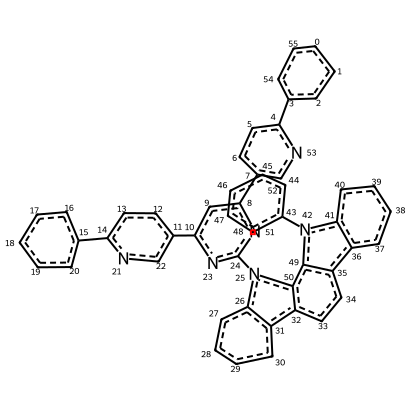 c1ccc(-c2ccc(-c3cc(-c4ccc(-c5ccccc5)nc4)nc(-n4c5ccccc5c5ccc6c7ccccc7n(-c7ccccc7)c6c54)n3)cn2)cc1